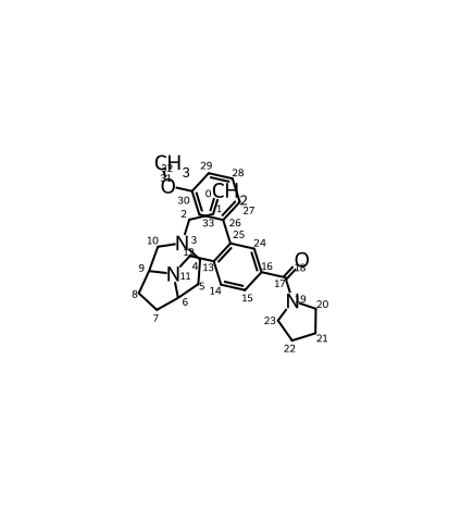 C=CCN1CCC2CCC(C1)N2Cc1ccc(C(=O)N2CCCC2)cc1-c1cccc(OC)c1